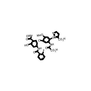 COC(=O)c1ccc(NC(=O)c2ccccc2F)cc1O.COc1cc(OC)c(NC(=O)C(=O)O)cc1Cl.O=C(O)c1ccno1